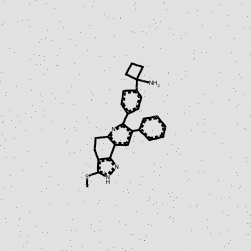 CSc1[nH]nc2c1CCc1nc(-c3ccc(C4(N)CCC4)cc3)c(-c3ccccc3)cc1-2